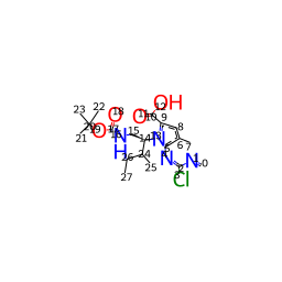 C=N/C(Cl)=N\c1c(C)cc(C(=O)O)n1[C@H](CNC(=O)OC(C)(C)C)C(C)CC